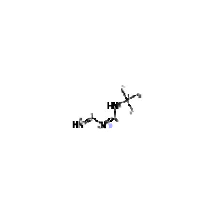 CC(C)(C)N/C=N\C=N